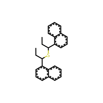 CCC(SC(CC)c1cccc2ccccc12)c1cccc2ccccc12